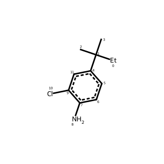 CCC(C)(C)c1ccc(N)c(Cl)c1